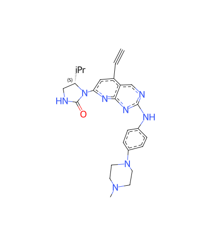 C#Cc1cc(N2C(=O)NC[C@@H]2C(C)C)nc2nc(Nc3ccc(N4CCN(C)CC4)cc3)ncc12